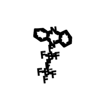 F[B-](F)(F)F.F[B-](F)(F)F.c1ccc2nc3ccccc3nc2c1